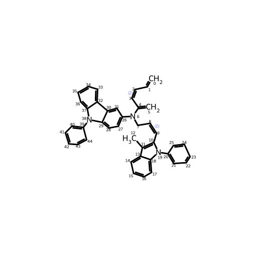 C=C/C=C\C(=C)N(C/C=C\c1c(C)c2ccccc2n1-c1ccccc1)c1ccc2c(c1)c1ccccc1n2-c1ccccc1